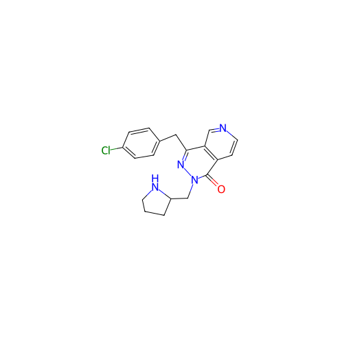 O=c1c2ccncc2c(Cc2ccc(Cl)cc2)nn1CC1CCCN1